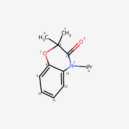 CC(C)N1C(=O)C(C)(C)Oc2ccccc21